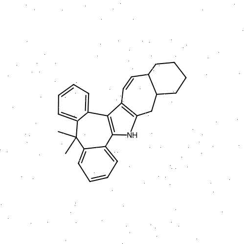 CC1(C)c2ccccc2-c2[nH]c3c(c2-c2ccccc21)C=CC1CCCCC1C3